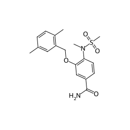 Cc1ccc(C)c(COc2cc(C(N)=O)ccc2N(C)S(C)(=O)=O)c1